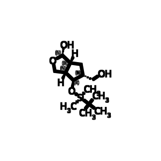 CC(C)(C)[Si](C)(C)O[C@@H]1[C@@H](CO)C[C@@H]2[C@H]1CO[C@@H]2O